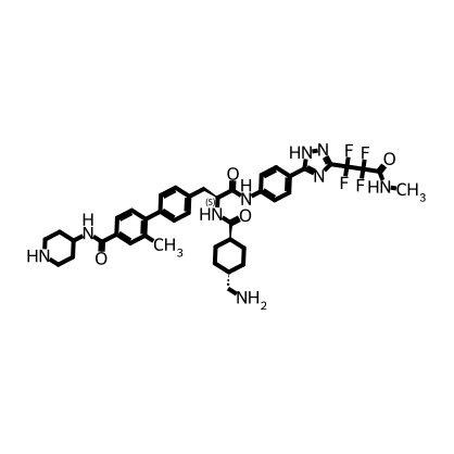 CNC(=O)C(F)(F)C(F)(F)c1n[nH]c(-c2ccc(NC(=O)[C@H](Cc3ccc(-c4ccc(C(=O)NC5CCNCC5)cc4C)cc3)NC(=O)[C@H]3CC[C@H](CN)CC3)cc2)n1